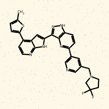 Cc1ccc(-c2ccnc3[nH]c(-c4n[nH]c5ccc(-c6cncc(CN7CCC(F)(F)C7)c6)nc45)cc23)s1